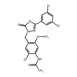 COc1cc(NC(C)=O)c(Cl)cc1Cn1nc(-c2cc(Cl)cc(Cl)c2)oc1=O